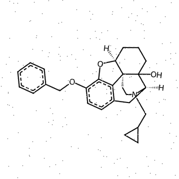 OC12CCC[C@@H]3Oc4c(OCc5ccccc5)ccc5c4[C@@]31CCN(CC1CC1)[C@@H]2C5